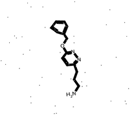 NCCCc1ccc(OCc2ccccc2)nn1